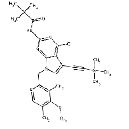 COc1c(C)cnc(Cn2cc(C#C[Si](C)(C)C)c3c(Cl)nc(NC(=O)C(C)(C)C)nc32)c1C